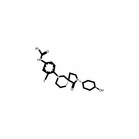 CC(C)C(=O)Nc1ccc(N2CCC[C@@]3(CCN([C@H]4CC[C@H](O)CC4)C3=O)C2)c(F)c1